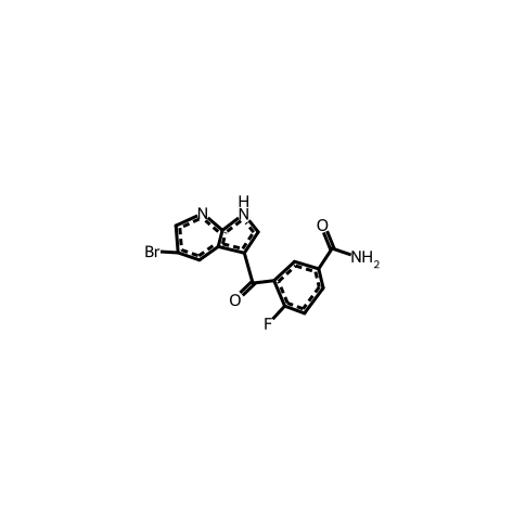 NC(=O)c1ccc(F)c(C(=O)c2c[nH]c3ncc(Br)cc23)c1